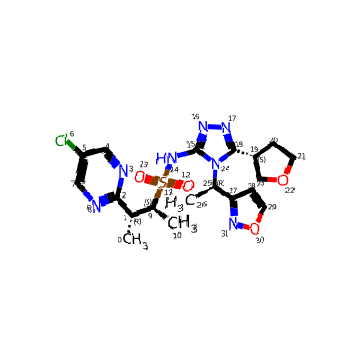 C[C@H](c1ncc(Cl)cn1)[C@H](C)S(=O)(=O)Nc1nnc([C@@H]2CCOC2)n1[C@H](C)c1ccon1